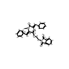 Cn1c(=O)/c(=C/c2ccccc2)nc(OCCN2C(=O)c3ccccc3C2=O)/c1=C/c1ccccc1